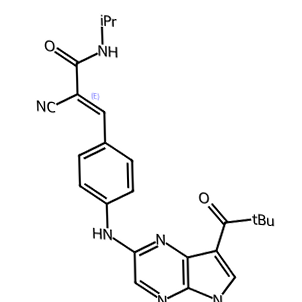 CC(C)NC(=O)/C(C#N)=C/c1ccc(Nc2cnc3[nH]cc(C(=O)C(C)(C)C)c3n2)cc1